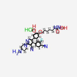 Cl.N#Cc1ccc(-c2c(-c3ccc(OCCCCCCC(=O)NO)c(O)c3)cnc(N3CCC(N)CC3)c2C#N)cc1F